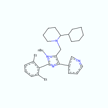 CCCCn1c(-c2c(CC)cccc2CC)nc(-c2cccnc2)c1CN1CCCCC1C1CCCCC1